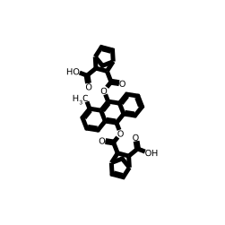 Cc1cccc2c(OC(=O)C3C4C=CC(C4)C3C(=O)O)c3ccccc3c(OC(=O)C3C4C=CC(C4)C3C(=O)O)c12